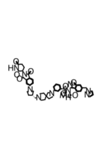 COc1cc(Cn2cccn2)cc2onc(NS(=O)(=O)c3cccc(N4CCC5(CCN(C[C@@H]6CCN(c7ccc8c(c7)C(=O)N(C7CCC(=O)NC7=O)C8=O)C6)CC5)C4)c3)c12